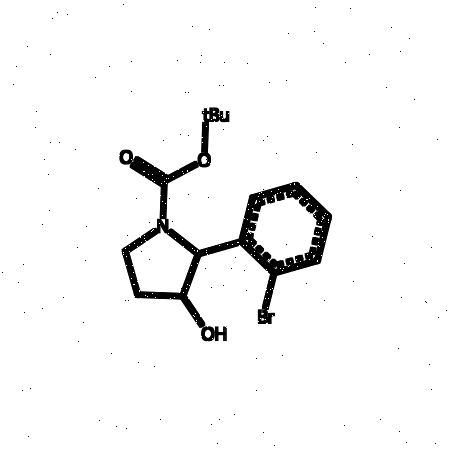 CC(C)(C)OC(=O)N1CCC(O)C1c1ccccc1Br